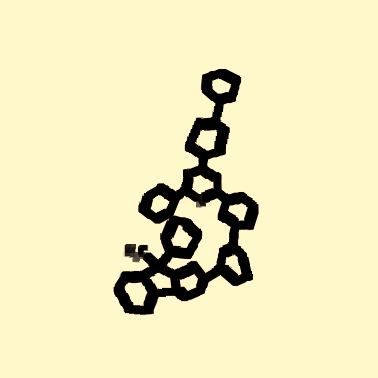 CC1(c2ccccc2)c2ccccc2-c2ccc(-c3cccc(-c4cccc(-c5cc(-c6ccc(-c7ccccc7)cc6)nc(-c6ccccc6)n5)c4)c3)cc21